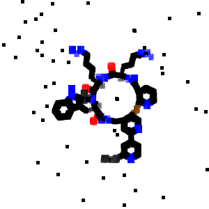 COc1cc(-c2cc3c(cn2)Sc2ncccc2CN[C@@H](CCCN)C(=O)N[C@@H](CCCCN)C(=O)N(C)[C@@H](Cc2c[nH]c4ccccc24)C(=O)NC3)ccn1